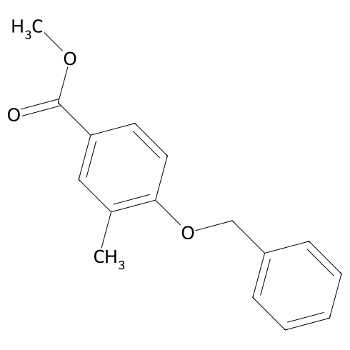 COC(=O)c1ccc(OCc2ccccc2)c(C)c1